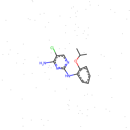 CC(C)Oc1ccccc1Nc1ncc(Cl)c(N)n1